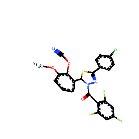 COc1cccc(C2SC(c3ccc(Cl)cc3)=NN2C(=O)c2c(F)cc(F)cc2F)c1OC#N